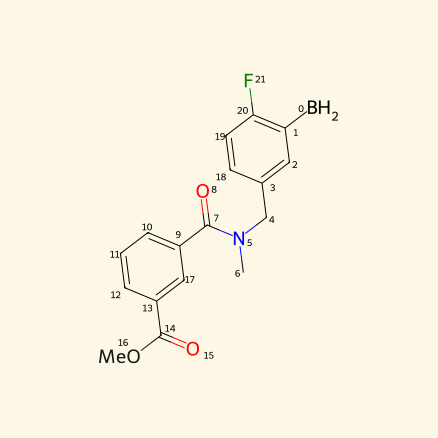 Bc1cc(CN(C)C(=O)c2cccc(C(=O)OC)c2)ccc1F